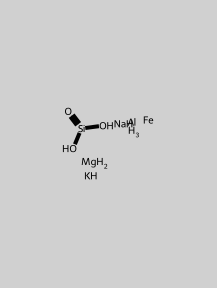 O=[Si](O)O.[AlH3].[Fe].[KH].[MgH2].[NaH]